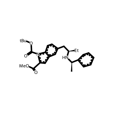 CC[C@H](Cc1ccc2c(c1)cc(C(=O)OC)n2C(=O)OC(C)(C)C)N[C@H](C)c1ccccc1